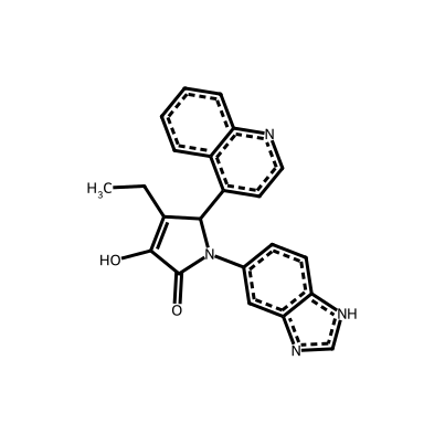 CCC1=C(O)C(=O)N(c2ccc3[nH]cnc3c2)C1c1ccnc2ccccc12